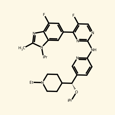 CCN1CCC([C@@H](OC(C)C)c2ccc(Nc3ncc(F)c(-c4cc(F)c5nc(C)n(C(C)C)c5c4)n3)nc2)CC1